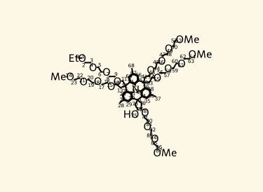 CCOCCOCCOCCOCC1(CCOCCOCCOCCOC)c2cc(C)cc3c2N2c4c(cc(C)cc4C(CCOCCOCCOCCOC)(CCOCCOCCOCCOC)c4cc(C)cc1c42)C3(CCO)CCOCCOCCOCCOC